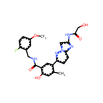 Cc1cc(O)c(C(=O)NCc2cc(OC(F)(F)F)ccc2F)cc1-c1ccc2nc(NC(=O)CO)cn2n1